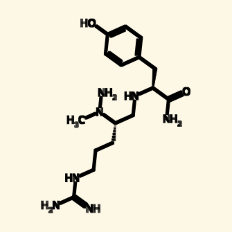 CN(N)[C@@H](CCCNC(=N)N)CN[C@@H](Cc1ccc(O)cc1)C(N)=O